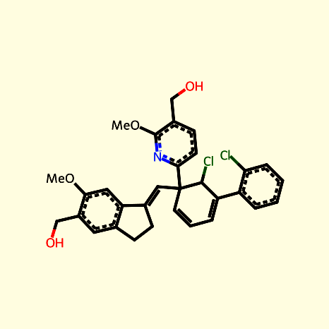 COc1cc2c(cc1CO)CCC2=CC1(c2ccc(CO)c(OC)n2)C=CC=C(c2ccccc2Cl)C1Cl